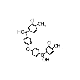 Cc1ccc(B(O)c2ccc(Oc3ccc(B(O)c4ccc(C)c(Cl)c4)cc3)cc2)cc1Cl